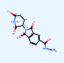 CNC(=O)c1ccc2c(c1)C(=O)N(C1CCC(=O)NC1=O)C2=O